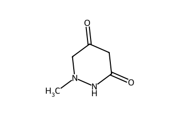 CN1CC(=O)CC(=O)N1